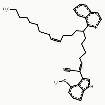 CCCCCCCC/C=C\CCCC(CCCC/C=C(\C#N)c1c[nH]c2cccc(OC)c12)c1nccc2ccccc12